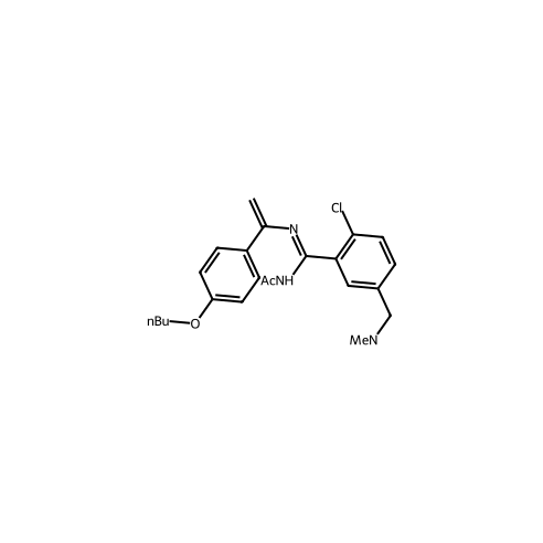 C=C(/N=C(\NC(C)=O)c1cc(CNC)ccc1Cl)c1ccc(OCCCC)cc1